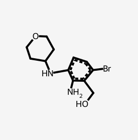 Nc1c(NC2CCOCC2)ccc(Br)c1CO